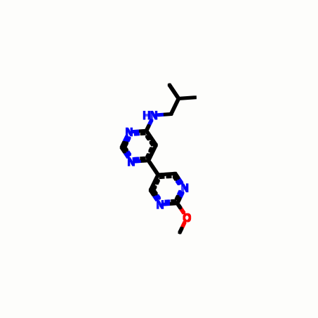 COc1ncc(-c2cc(NCC(C)C)ncn2)cn1